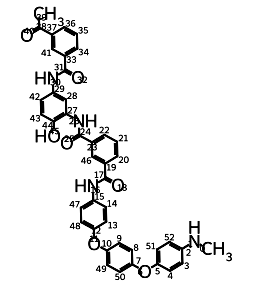 CNc1ccc(Oc2ccc(Oc3ccc(NC(=O)c4cccc(C(=O)Nc5cc(NC(=O)c6cccc(C(C)=O)c6)ccc5O)c4)cc3)cc2)cc1